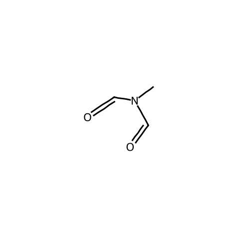 CN(C=O)C=O